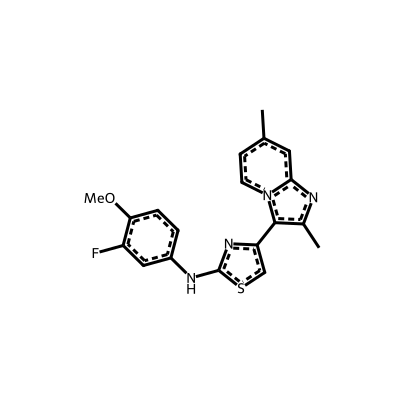 COc1ccc(Nc2nc(-c3c(C)nc4cc(C)ccn34)cs2)cc1F